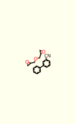 C(OCC1CO1)C1CO1.N#Cc1cccc(-c2ccccc2)c1